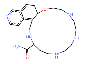 NC(=O)C1CCNCCNCCNCCOC2CC=c3cnccc3=C2CN1